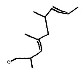 C/C=C/C(C)C/C(C)=C/C(C)C[O]